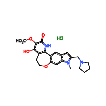 Cl.Cn1c(CN2CCCC2)cc2cc3c(cc21)OCCc1c-3[nH]c(=O)c(OC(=O)O)c1O